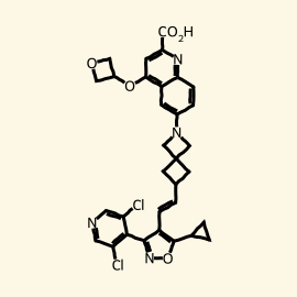 O=C(O)c1cc(OC2COC2)c2cc(N3CC4(CC(C=Cc5c(-c6c(Cl)cncc6Cl)noc5C5CC5)C4)C3)ccc2n1